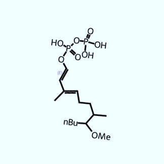 CCCCC(OC)C(C)CCC=C(C)/C=C/OP(=O)(O)OP(=O)(O)O